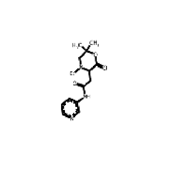 CCN1CC(C)(C)OC(=O)C1CC(=O)Nc1cccnc1